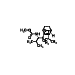 COC(=O)N[C@H](C(=O)N1C2C=CC(CC2)[C@H]1C(C)C)C(C)C